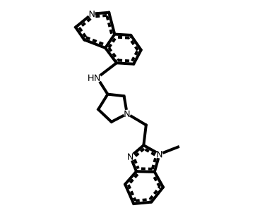 Cn1c(CN2CCC(Nc3cccc4cnccc34)C2)nc2ccccc21